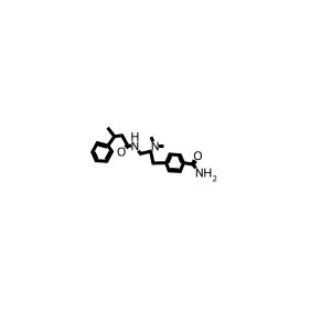 CC(CC(=O)NCC(Cc1ccc(C(N)=O)cc1)N(C)C)c1ccccc1